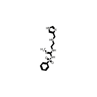 CN=C(NCCNCc1c[nH]cn1)NS(=O)(=O)c1ccccc1